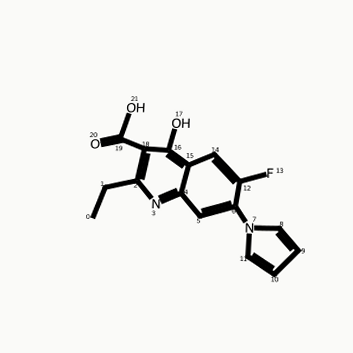 CCc1nc2cc(-n3cccc3)c(F)cc2c(O)c1C(=O)O